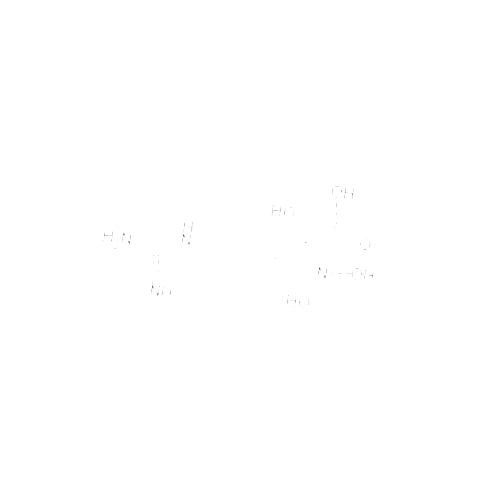 N=C(N)NCCCC(O)(C(=O)O)N(O)O